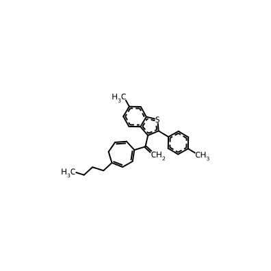 C=C(C1=CC=C(CCCC)CC=C1)c1c(-c2ccc(C)cc2)sc2cc(C)ccc12